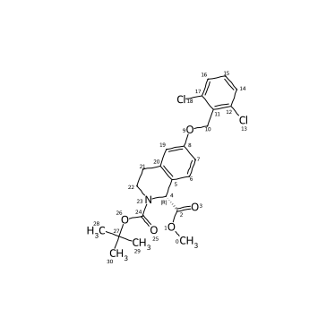 COC(=O)[C@H]1c2ccc(OCc3c(Cl)cccc3Cl)cc2CCN1C(=O)OC(C)(C)C